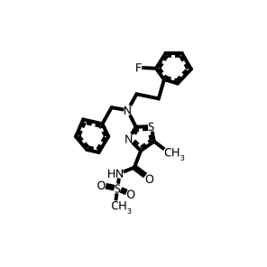 Cc1sc(N(CCc2ccccc2F)Cc2ccccc2)nc1C(=O)NS(C)(=O)=O